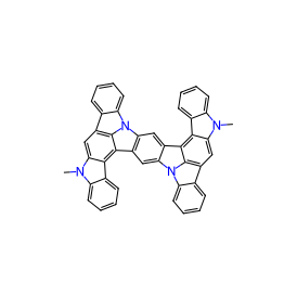 Cn1c2ccccc2c2c3c4cc5c(cc4n4c6ccccc6c(cc21)c34)c1c2c3ccccc3n(C)c2cc2c3ccccc3n5c21